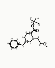 COCCC1CN(Cc2ccccc2)CCN1C(=O)OC(C)(C)C